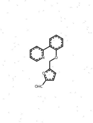 O=Cc1ccc(COc2ccccc2-c2ccccn2)o1